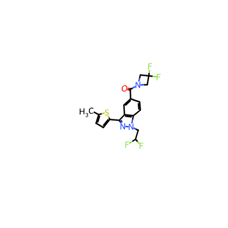 Cc1ccc(-c2nn(CC(F)F)c3ccc(C(=O)N4CC(F)(F)C4)cc23)s1